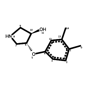 Cc1ccc(O[C@@H]2CNC[C@H]2O)cc1C